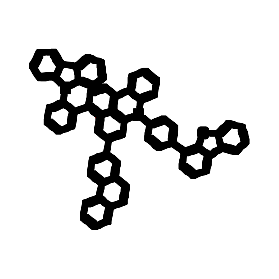 c1cc(-c2ccc3c(ccc4ccccc43)c2)cc(N(c2ccc(-c3cccc4c3oc3ccccc34)cc2)c2ccccc2-c2ccc(-c3ccccc3-n3c4ccccc4c4ccccc43)cc2)c1